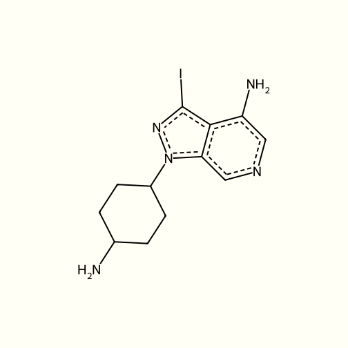 Nc1cncc2c1c(I)nn2C1CCC(N)CC1